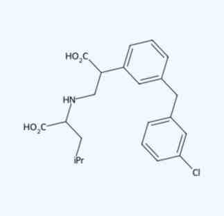 CC(C)CC(NCC(C(=O)O)c1cccc(Cc2cccc(Cl)c2)c1)C(=O)O